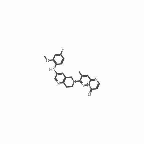 COc1cc(F)ccc1Nc1cnc2c(c1)CN(c1nn3c(=O)ccnc3cc1C)CC2